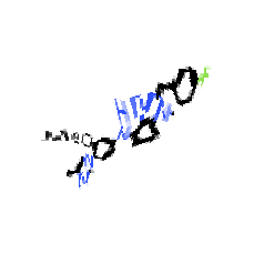 COc1cc(Nc2cccc3c2nc(Cc2ccc(F)cc2)n3C)ccc1-n1cnc(C)c1